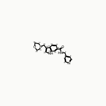 O=C(NCc1ccncc1)c1ccc2c(CN3CCOCC3)c[nH]c2c1